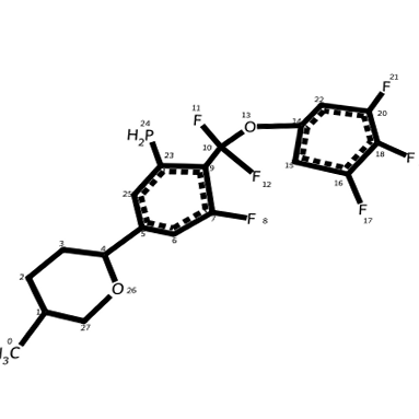 CC1CCC(c2cc(F)c(C(F)(F)Oc3cc(F)c(F)c(F)c3)c(P)c2)OC1